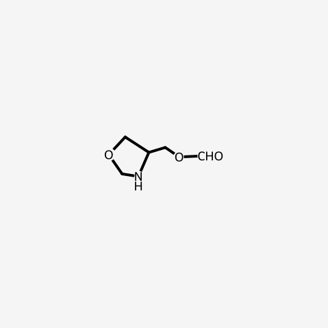 O=COCC1COCN1